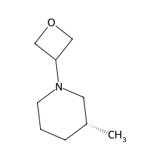 C[C@@H]1CCCN(C2COC2)C1